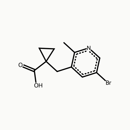 Cc1ncc(Br)cc1CC1(C(=O)O)CC1